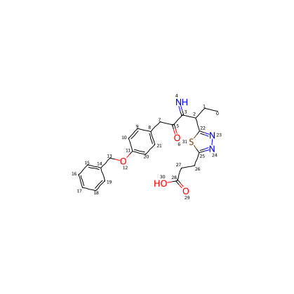 CCC(C(=N)C(=O)Cc1ccc(OCc2ccccc2)cc1)c1nnc(CCC(=O)O)s1